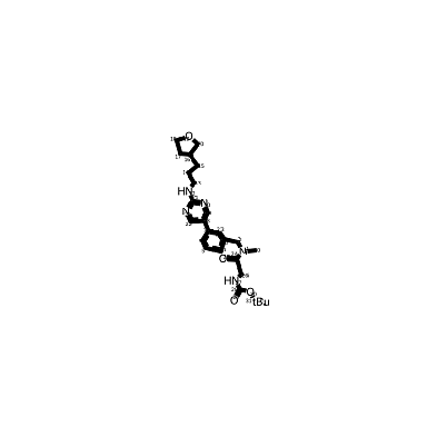 CN(Cc1cccc(-c2cnc(NCCCC3CCOC3)nc2)c1)C(=O)CNC(=O)OC(C)(C)C